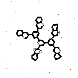 c1ccc2ncc(-c3cc(-c4cc(-c5cc(-c6cnc7ccccc7c6)cc(-c6cnc7ccccc7c6)c5)nc(-c5nc6ccccc6o5)c4)cc(-c4cnc5ccccc5c4)c3)cc2c1